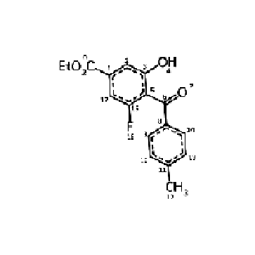 CCOC(=O)c1cc(O)c(C(=O)c2ccc(C)cc2)c(F)c1